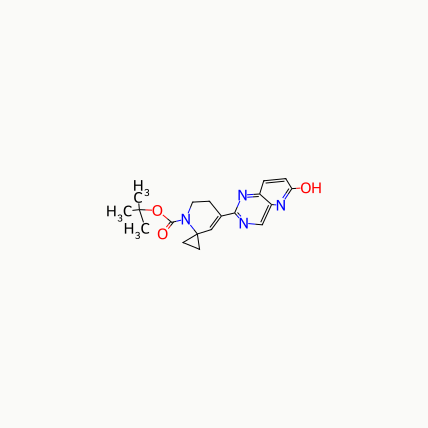 CC(C)(C)OC(=O)N1CCC(c2ncc3nc(O)ccc3n2)=CC12CC2